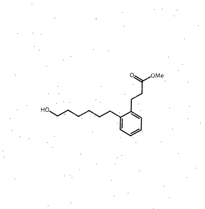 COC(=O)CCc1ccccc1CCCCCCO